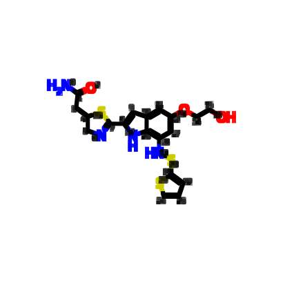 NC(=O)CC1CN=C(c2cc3cc(OCCO)cc(NSc4cccs4)c3[nH]2)S1